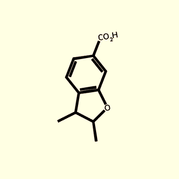 CC1Oc2cc(C(=O)O)ccc2C1C